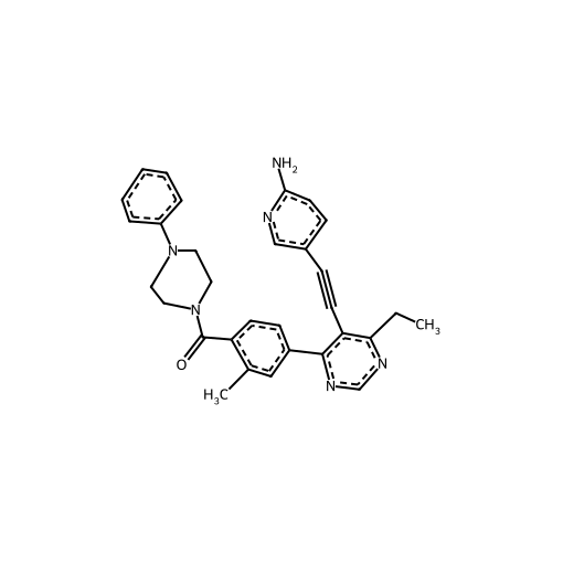 CCc1ncnc(-c2ccc(C(=O)N3CCN(c4ccccc4)CC3)c(C)c2)c1C#Cc1ccc(N)nc1